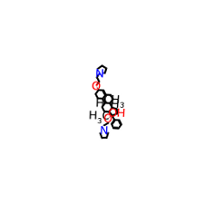 C[C@]12CC[C@H]3[C@@H](CCC4=C[C@@H](OCCN5CCCC5)CC[C@@]43C)[C@@]1(O)CC[C@@]2(OCCN1CCCC1)c1ccccc1